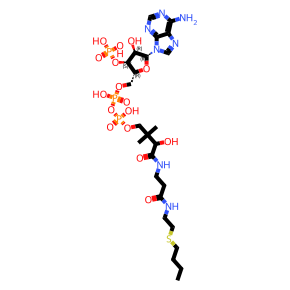 CCCCSCCNC(=O)CCNC(=O)C(O)C(C)(C)COP(=O)(O)OP(=O)(O)OC[C@H]1O[C@@H](n2cnc3c(N)ncnc32)[C@H](O)[C@@H]1OP(=O)(O)O